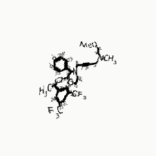 COCCN(C)CC#CCN1CCOC(O[C@H](C)c2cc(C(F)(F)F)cc(C(F)(F)F)c2)C1c1ccccc1